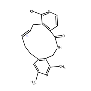 Cc1cc2c(c(C)n1)CNC(=O)c1ccnc(Cl)c1C/C=C/CC2